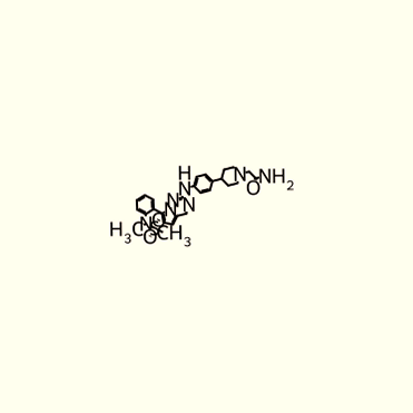 CN(c1ccccc1-c1ccc2cnc(Nc3ccc(C4CCN(CC(N)=O)CC4)cc3)nn12)S(C)(=O)=O